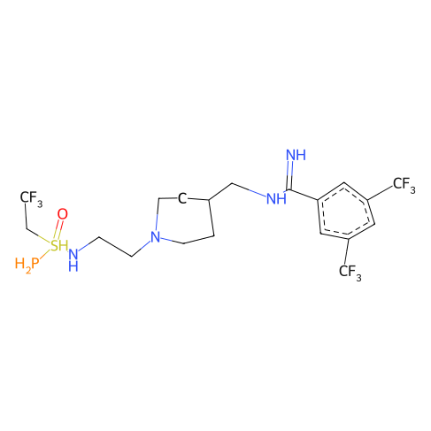 N=C(NCC1CCN(CCN[SH](=O)(P)CC(F)(F)F)CC1)c1cc(C(F)(F)F)cc(C(F)(F)F)c1